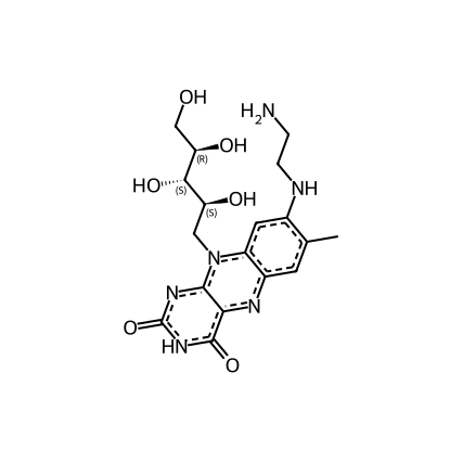 Cc1cc2nc3c(=O)[nH]c(=O)nc-3n(C[C@H](O)[C@H](O)[C@H](O)CO)c2cc1NCCN